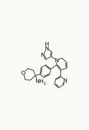 NC1(c2ccc(C3=C(c4ccccn4)C=CCN3c3cn[nH]c3)cc2)CCOCC1